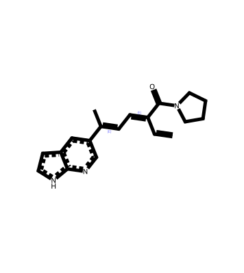 C=C/C(=C\C=C(/C)c1cnc2[nH]ccc2c1)C(=O)N1CCCC1